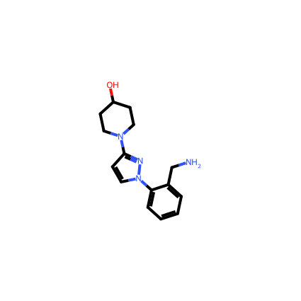 NCc1ccccc1-n1ccc(N2CCC(O)CC2)n1